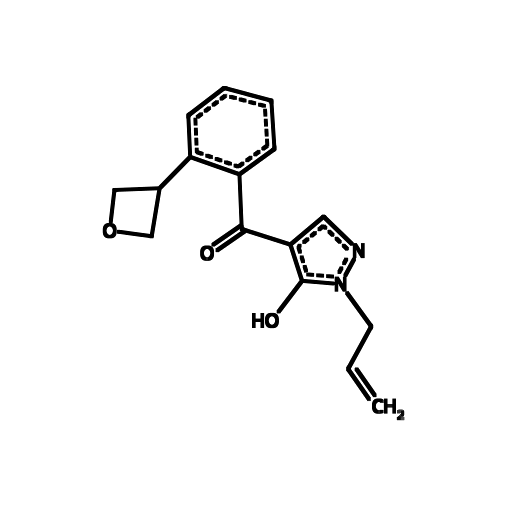 C=CCn1ncc(C(=O)c2ccccc2C2COC2)c1O